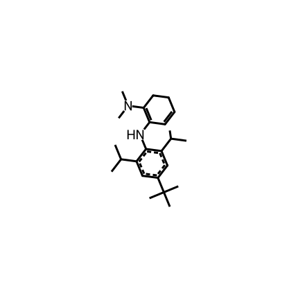 CC(C)c1cc(C(C)(C)C)cc(C(C)C)c1NC1=C(N(C)C)CCC=C1